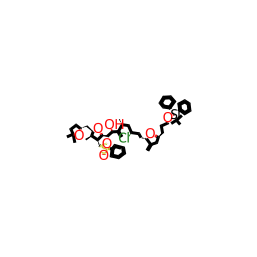 C=C([C@H](C)C[C@@H](Cl)CC[C@@H]1O[C@@H](CCCO[Si](c2ccccc2)(c2ccccc2)C(C)(C)C)CC1=C)[C@H](O)C[C@@H]1O[C@H](C[C@H]2CCC(C)(C)O2)[C@H](C)[C@H]1CS(=O)(=O)c1ccccc1